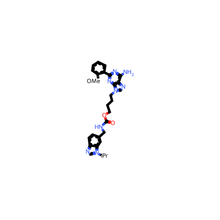 COc1ccccc1-c1nc(N)c2ncn(CCCCOC(=O)NCc3ccc4ncn(C(C)C)c4c3)c2n1